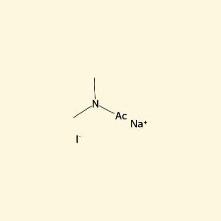 CC(=O)N(C)C.[I-].[Na+]